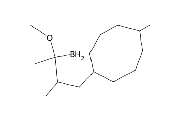 BC(C)(OC)C(C)CC1CCCC(C)CCC1